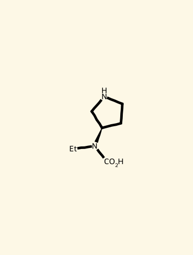 CCN(C(=O)O)[C@@H]1CCNC1